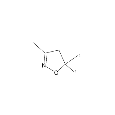 [CH]C1([CH])CC(C)=NO1